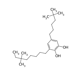 CCC(C)(C)CCCCCc1cc(CCCCC(C)(C)C)cc(O)c1O